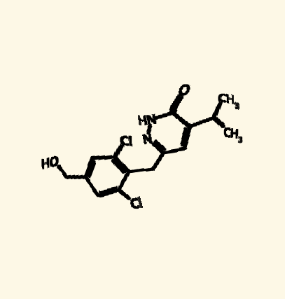 CC(C)c1cc(Cc2c(Cl)cc(CO)cc2Cl)n[nH]c1=O